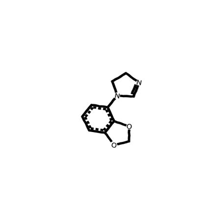 C1=NCCN1c1cccc2c1OCO2